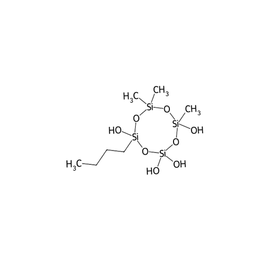 CCCC[Si]1(O)O[Si](C)(C)O[Si](C)(O)O[Si](O)(O)O1